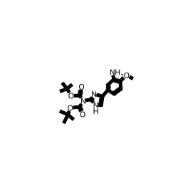 COc1ccc(-c2c[nH]c(N(C(=O)OC(C)(C)C)C(=O)OC(C)(C)C)n2)cc1N